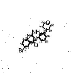 Nc1nc2ccc(Br)cc2c(=O)n1-c1cccc(N2CCOCC2)c1